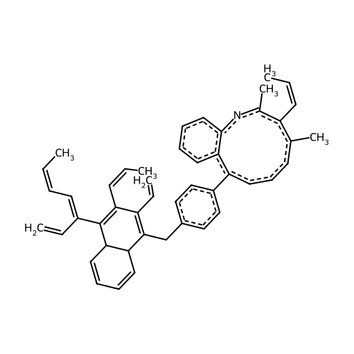 C=CC1=C(Cc2ccc(-c3cccc(C)c(/C=C\C)c(C)nc4ccccc34)cc2)C2C=CC=CC2C(C(/C=C)=C/C=C\C)=C1/C=C\C